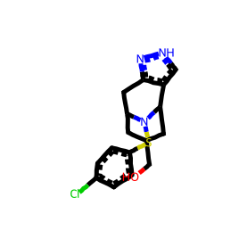 OCC1CC2Cc3n[nH]cc3C(C1)N2Sc1ccc(Cl)cc1